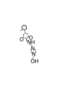 Cc1ccccc1C1CC(=O)C(=CNCCN2CCN(CCO)CC2)C(=O)C1